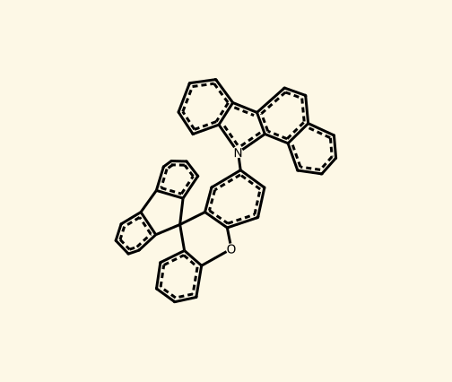 c1ccc2c(c1)Oc1ccc(-n3c4ccccc4c4ccc5ccccc5c43)cc1C21c2ccccc2-c2ccccc21